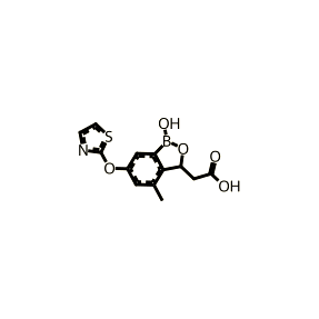 Cc1cc(Oc2nccs2)cc2c1C(CC(=O)O)OB2O